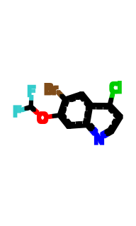 FC(F)Oc1cc2nccc(Cl)c2cc1Br